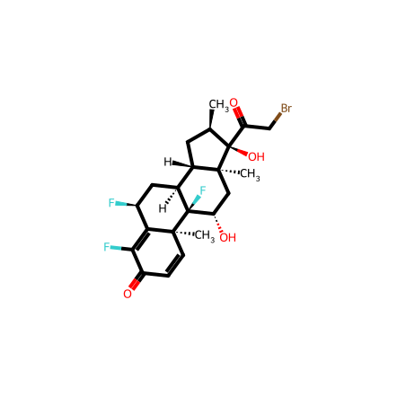 C[C@@H]1C[C@H]2[C@@H]3C[C@H](F)C4=C(F)C(=O)C=C[C@]4(C)[C@@]3(F)[C@@H](O)C[C@]2(C)[C@@]1(O)C(=O)CBr